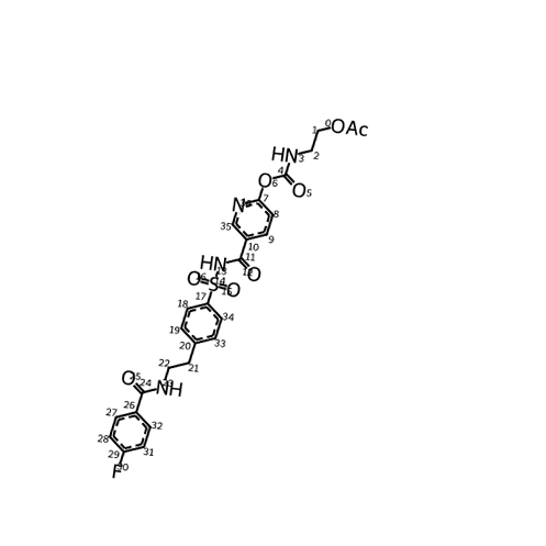 CC(=O)OCCNC(=O)Oc1ccc(C(=O)NS(=O)(=O)c2ccc(CCNC(=O)c3ccc(F)cc3)cc2)cn1